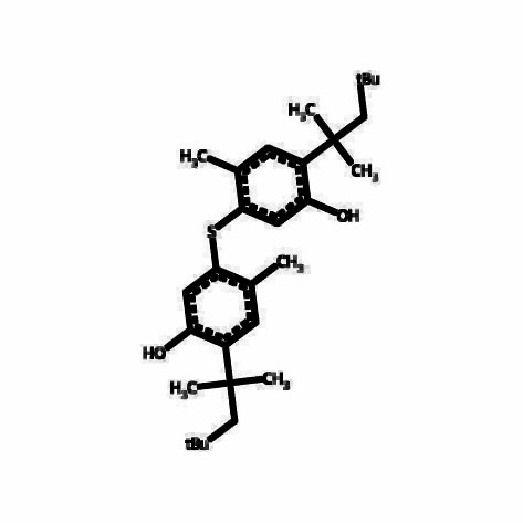 Cc1cc(C(C)(C)CC(C)(C)C)c(O)cc1Sc1cc(O)c(C(C)(C)CC(C)(C)C)cc1C